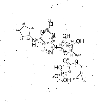 O=C(CP(=O)(O)O)N(CC1CC1)C[C@H]1O[C@@H](n2ncc3c(NC4CCCC4)nc(Cl)nc32)[C@H](O)[C@@H]1O